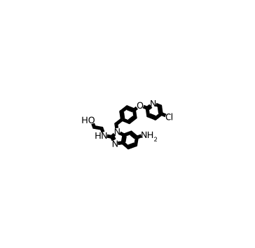 Nc1ccc2nc(NCCO)n(Cc3ccc(Oc4ccc(Cl)cn4)cc3)c2c1